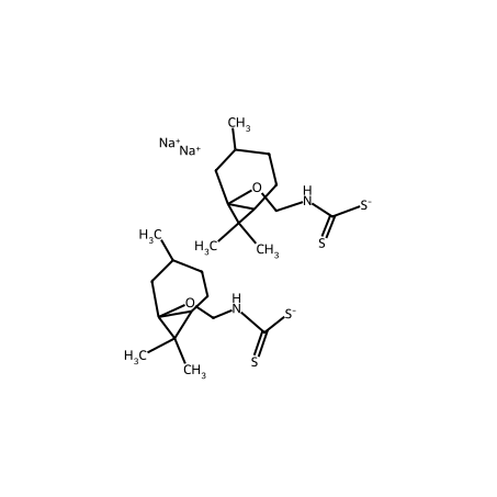 CC1CCC2C(C)(C)C2(OCNC(=S)[S-])C1.CC1CCC2C(C)(C)C2(OCNC(=S)[S-])C1.[Na+].[Na+]